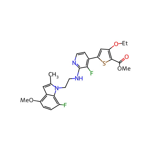 CCOc1cc(-c2ccnc(NCCn3c(C)cc4c(OC)ccc(F)c43)c2F)sc1C(=O)OC